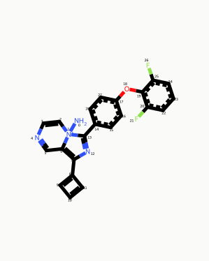 N[N+]12C=CN=CC1=C(C1=CC=C1)N=C2c1ccc(Oc2c(F)cccc2F)cc1